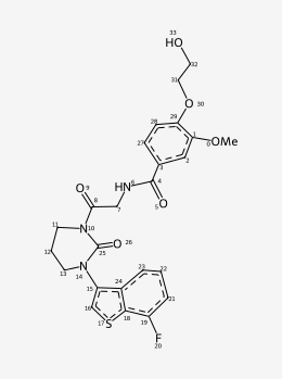 COc1cc(C(=O)NCC(=O)N2CCCN(c3csc4c(F)cccc34)C2=O)ccc1OCCO